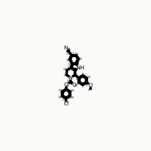 COc1ccc(C2c3[nH]c4ccc(C#N)cc4c3CCN2C(=O)Oc2ccc(Cl)cc2)cc1